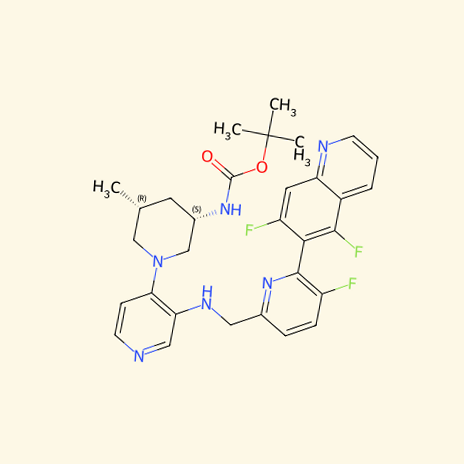 C[C@@H]1C[C@H](NC(=O)OC(C)(C)C)CN(c2ccncc2NCc2ccc(F)c(-c3c(F)cc4ncccc4c3F)n2)C1